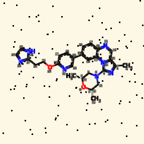 Cc1nc(N2C[C@@H](C)O[C@@H](C)C2)n2c1cnc1ccc(-c3ccc(OCCc4ncc[nH]4)nc3)cc12